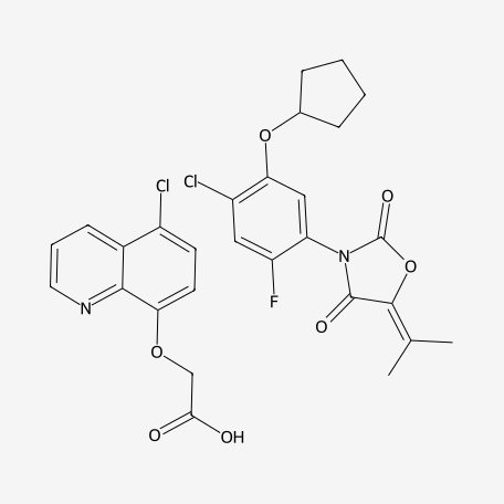 CC(C)=C1OC(=O)N(c2cc(OC3CCCC3)c(Cl)cc2F)C1=O.O=C(O)COc1ccc(Cl)c2cccnc12